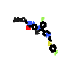 CCc1c(C2CCN(CCCSc3ccc(F)cc3)CC2)c2ccc(F)cc2n1-c1ccc(C(=O)NCCOC)cc1